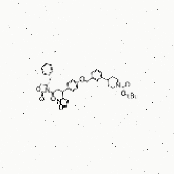 CC(C)(C)OC(=O)N1CC=C(c2cccc(COc3ccc([C@H](CC(=O)N4C(=O)OC[C@@H]4Cc4ccccc4)c4ccon4)cc3)c2)CC1